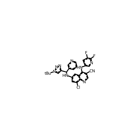 CC(C)(C)n1cc(C(Nc2cc(Cl)c3ncc(C#N)c(Nc4cnc(F)c(F)c4)c3c2)c2cccnc2)nn1